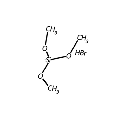 Br.CO[Si](OC)OC